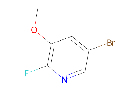 COc1cc(Br)cnc1F